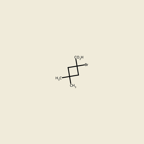 CC1(C)CC(Br)(C(=O)O)C1